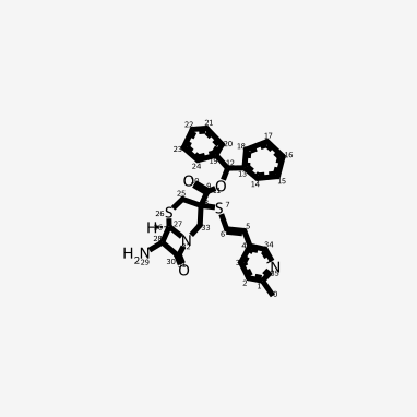 Cc1ccc(C=CSC2(C(=O)OC(c3ccccc3)c3ccccc3)CS[C@@H]3C(N)C(=O)N3C2)cn1